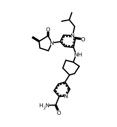 C=C1CCN(c2cc(NC3CCC(c4ccc(C(N)=O)nc4)CC3)c(=O)n(CC(C)C)c2)C1=O